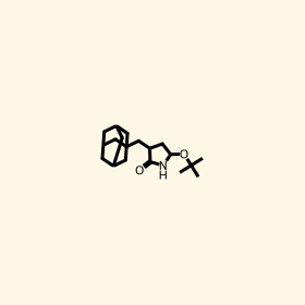 CC(C)(C)OC1CC(CC23CC4CC(CC(C4)C2)C3)C(=O)N1